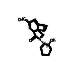 O=CC1=CC2C(=O)N([C@H]3CCCC[C@@H]3O)CC23C=CC=CC3=C1